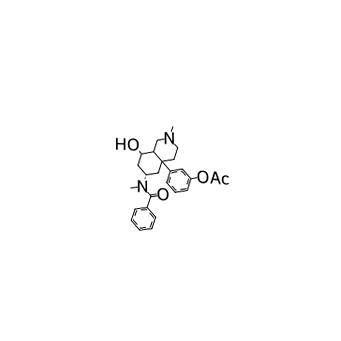 CC(=O)Oc1cccc(C23CCN(C)CC2C(O)C[C@@H](N(C)C(=O)c2ccccc2)C3)c1